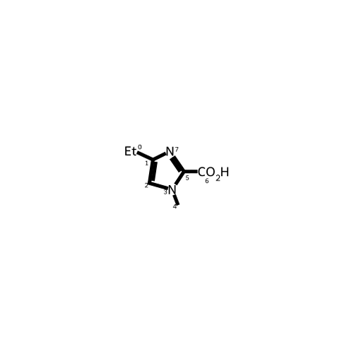 CCc1cn(C)c(C(=O)O)n1